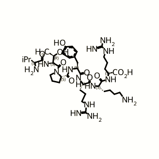 CC(C)[C@H](N)C(=O)N[C@H](C(=O)N1CCC[C@H]1C(=O)N[C@@H](Cc1ccc(O)cc1)C(=O)N[C@@H](CCCNC(=N)N)C(=O)N[C@@H](CCCCN)C(=O)N[C@@H](CCCNC(=N)N)C(=O)O)[C@@H](C)O